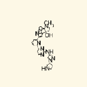 CN1CCC(O)(c2cc(-c3cccc(-c4ccnc(Nc5cnn(C6CCNC6)c5)n4)n3)no2)C1=O